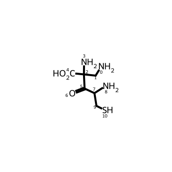 NCC(N)(C(=O)O)C(=O)C(N)CS